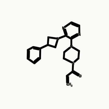 C=CC(=O)N1CCN(c2nccnc2N2CC(c3ccccc3)C2)CC1